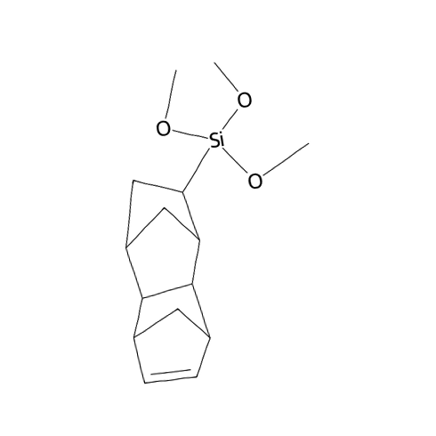 CO[Si](OC)(OC)C1CC2CC1C1C3C=CC(C3)C21